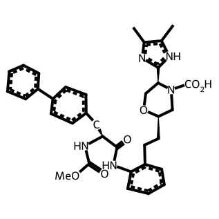 COC(=O)N[C@@H](Cc1ccc(-c2ccccc2)cc1)C(=O)Nc1ccccc1CC[C@@H]1CN(C(=O)O)[C@H](c2nc(C)c(C)[nH]2)CO1